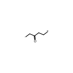 [CH2]CC(=O)CCF